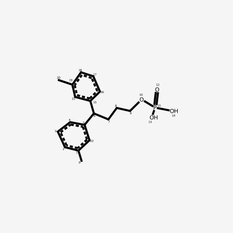 Cc1cccc(C(CCCOP(=O)(O)O)c2cccc(C)c2)c1